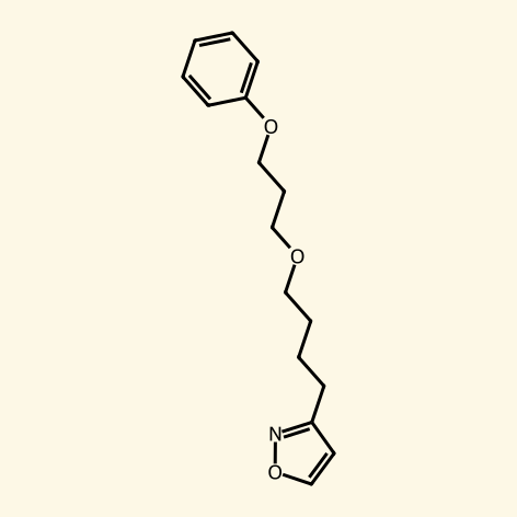 c1ccc(OCCCOCCCCc2ccon2)cc1